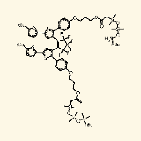 C=C(C[Si](C)(C)O[Si](C)(C)O[Si](C)(C)CCCC)OCCCOc1ccc(-c2sc(-c3ccc(C(C)(C)C)s3)cc2C2=C(c3cc(-c4ccc(C(C)(C)C)s4)sc3-c3ccc(OCCCOC(=O)C[Si](C)(C)O[Si](C)(C)O[SiH2]CCCC)cc3)C(F)(F)C(F)(F)C2(F)F)cc1